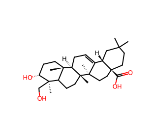 CC1(C)CC[C@]2(C(=O)O)CC[C@]3(C)C(=CC[C@@H]4[C@@]5(C)CC[C@@H](O)[C@](C)(CO)C5CC[C@]43C)[C@@H]2C1